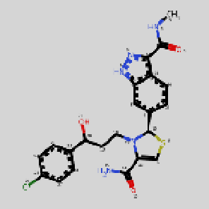 CNC(=O)c1n[nH]c2cc([C@H]3SC=C(C(N)=O)N3CCC(O)c3ccc(Cl)cc3)ccc12